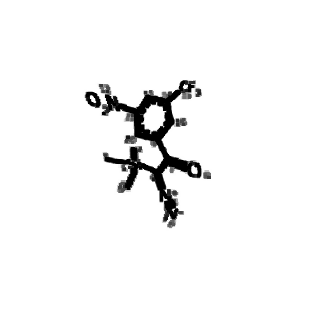 C[Si](C)(C)C(=[N+]=[N-])C(=O)c1cc([N+](=O)[O-])cc(C(F)(F)F)c1